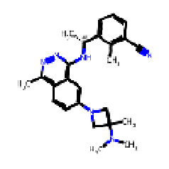 Cc1c(C#N)cccc1[C@@H](C)Nc1nnc(C)c2ccc(N3CC(C)(N(C)C)C3)cc12